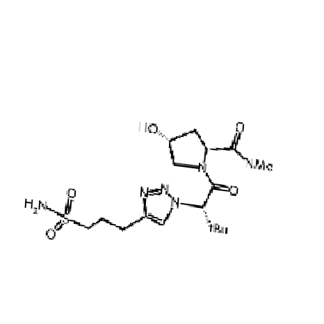 CNC(=O)[C@@H]1C[C@@H](O)CN1C(=O)[C@@H](n1cc(CCCS(N)(=O)=O)nn1)C(C)(C)C